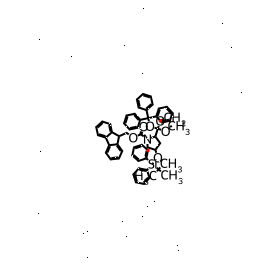 COC(OC)(OC(c1ccccc1)(c1ccccc1)c1ccccc1)C1CC(O[Si](c2ccccc2)(c2ccccc2)C(C)(C)C)CN1C(=O)OCC1c2ccccc2-c2ccccc21